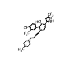 CN1CCN(CCC#Cc2ccc(-c3cc(C(F)(F)F)n[nH]3)c(O)c2-c2ccc(Cl)c(C(F)(F)F)c2)CC1